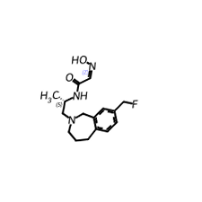 C[C@@H](CN1CCCc2ccc(CF)cc2C1)NC(=O)/C=N\O